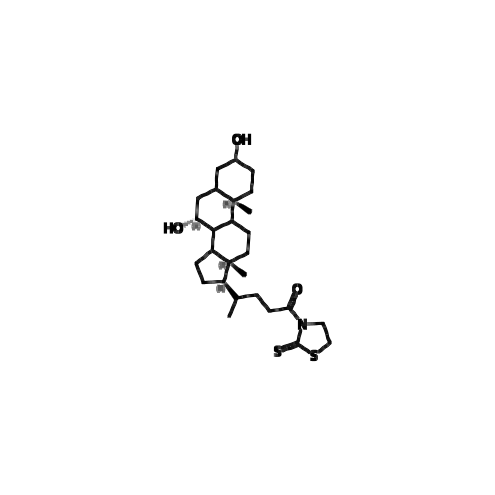 CC(CCC(=O)N1CCSC1=S)[C@H]1CCC2C3C(CC[C@@]21C)[C@@]1(C)CCC(O)CC1C[C@H]3O